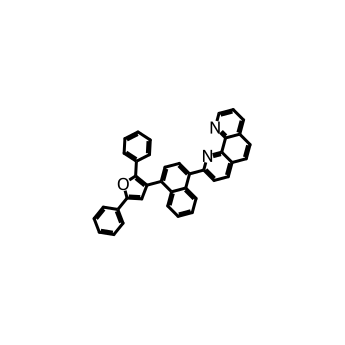 c1ccc(-c2cc(-c3ccc(-c4ccc5ccc6cccnc6c5n4)c4ccccc34)c(-c3ccccc3)o2)cc1